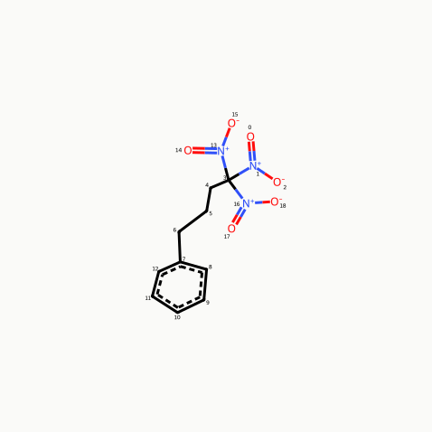 O=[N+]([O-])C(CCCc1ccccc1)([N+](=O)[O-])[N+](=O)[O-]